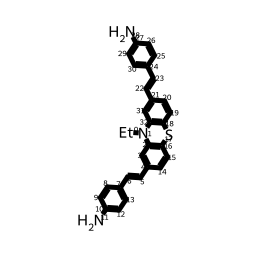 CCN1c2cc(C=Cc3ccc(N)cc3)ccc2Sc2ccc(C=Cc3ccc(N)cc3)cc21